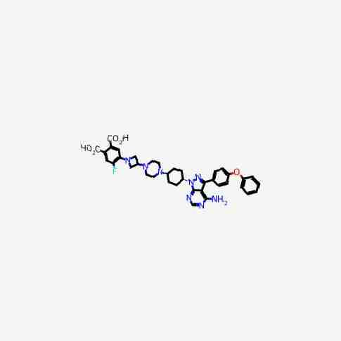 Nc1ncnc2c1c(-c1ccc(Oc3ccccc3)cc1)nn2[C@H]1CC[C@H](N2CCN(C3CN(c4cc(C(=O)O)c(C(=O)O)cc4F)C3)CC2)CC1